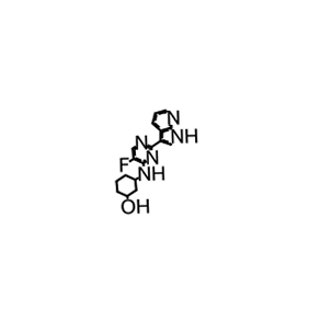 OC1CCCC(Nc2nc(-c3c[nH]c4ncccc34)ncc2F)C1